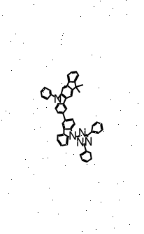 CC1(C)c2ccccc2-c2cc3c(cc21)c1cc(-c2ccc4c(c2)c2ccccc2n4-c2nc(C4=CC=CCC4)nc(-c4ccccc4)n2)ccc1n3-c1ccccc1